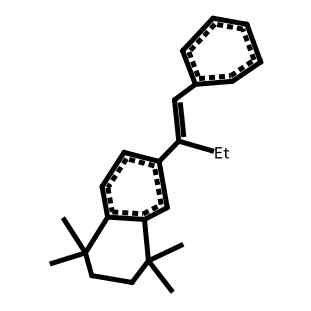 CCC(=Cc1ccccc1)c1ccc2c(c1)C(C)(C)CCC2(C)C